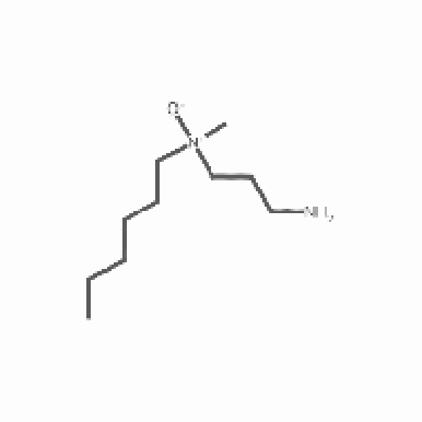 CCCCCC[N+](C)([O-])CCCN